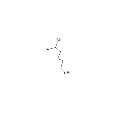 CCCCCCCC([N])F